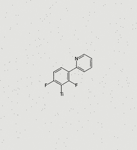 Fc1ccc(-c2ccccn2)c(F)[c]1[Ti]